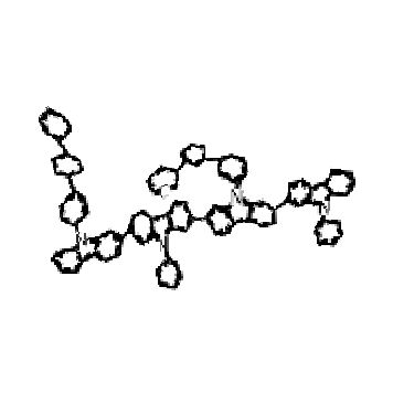 c1ccc(-c2ccc(-c3ccc(-n4c5ccccc5c5ccc(-c6ccc7c8ccc(-c9ccc%10c%11ccc(-c%12ccc%13c%14ccccc%14n(-c%14ccccc%14)c%13c%12)cc%11n(-c%11cccc(-c%12cccc(-c%13ccccc%13)c%12)c%11)c%10c9)cc8n(-c8ccccc8)c7c6)cc54)cc3)cc2)cc1